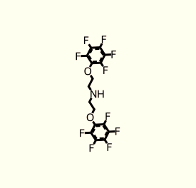 Fc1c(F)c(F)c(OCCNCCOc2c(F)c(F)c(F)c(F)c2F)c(F)c1F